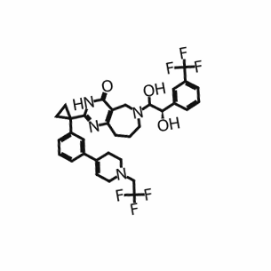 O=c1[nH]c(C2(c3cccc(C4=CCN(CC(F)(F)F)CC4)c3)CC2)nc2c1CN(C(O)[C@H](O)c1cccc(C(F)(F)F)c1)CCC2